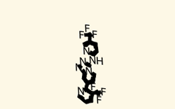 FC(F)(F)c1ccc(Nc2nnc3cc(-c4ncccc4C(F)(F)F)ccn23)nc1